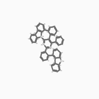 c1ccc(-c2nc(-c3ccccc3-c3cccc4oc5ccccc5c34)nc3c2-c2ccccc2-c2cccc4c5ccccc5n-3c24)cc1